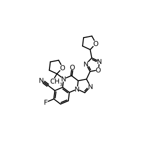 CC1(N2C(=O)C3C(c4nc(C5CCCO5)no4)N=CN3c3ccc(F)c(C#N)c32)CCCO1